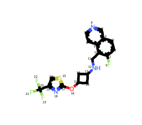 Fc1ccc2cnccc2c1CNC1CC(Oc2nc(C(F)(F)F)cs2)C1